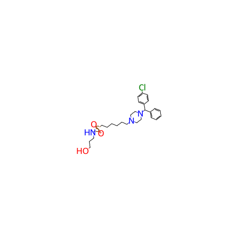 O=S(=O)(CCCCCCN1CCN(C(c2ccccc2)c2ccc(Cl)cc2)CC1)NCCCO